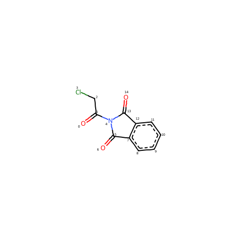 O=C(CCl)N1C(=O)c2ccccc2C1=O